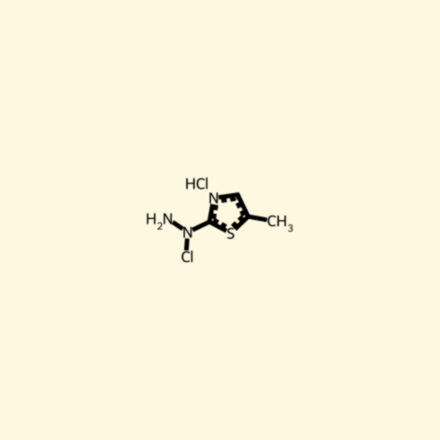 Cc1cnc(N(N)Cl)s1.Cl